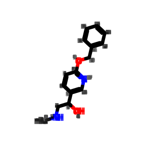 CCCCNCC(O)c1ccc(OCc2ccccc2)nc1